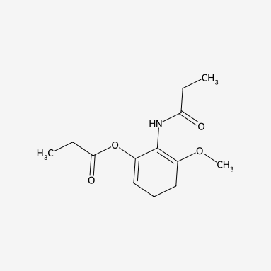 CCC(=O)NC1=C(OC)CCC=C1OC(=O)CC